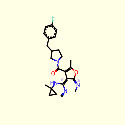 C=N/C(NC1(C)CC1)=C1/C(C(=O)N2CCC(Cc3ccc(F)cc3)C2)=C(C)O/C1=N/C